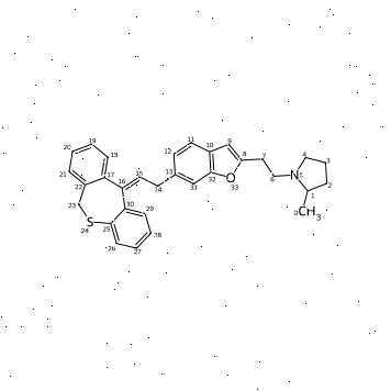 CC1CCCN1CCc1cc2ccc(C/C=C3/c4ccccc4CSc4ccccc43)cc2o1